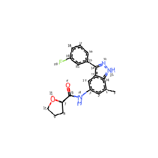 Cc1cc(NC(=O)C2CCCO2)cc2c(-c3cccc(F)c3)n[nH]c12